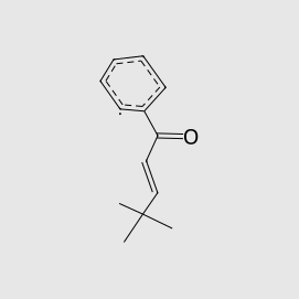 CC(C)(C)C=CC(=O)c1[c]cccc1